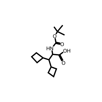 CC(C)(C)OC(=O)NC(C(=O)O)C(C1CCC1)C1CCC1